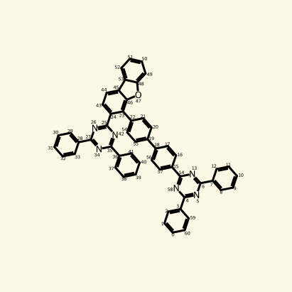 c1ccc(-c2nc(-c3ccccc3)nc(-c3ccc(-c4ccc(-c5c(-c6nc(-c7ccccc7)nc(-c7ccccc7)n6)ccc6c5oc5ccccc56)cc4)cc3)n2)cc1